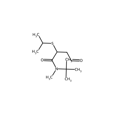 CC(C)SC(CC=O)C(=O)N(C)C(C)(C)C